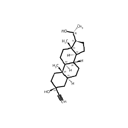 C#C[C@]1(O)CC[C@@]2(C)[C@@H](CC[C@@H]3[C@@H]2CC[C@]2(C)[C@@H]([C@@H](C)O)CC[C@@H]32)C1